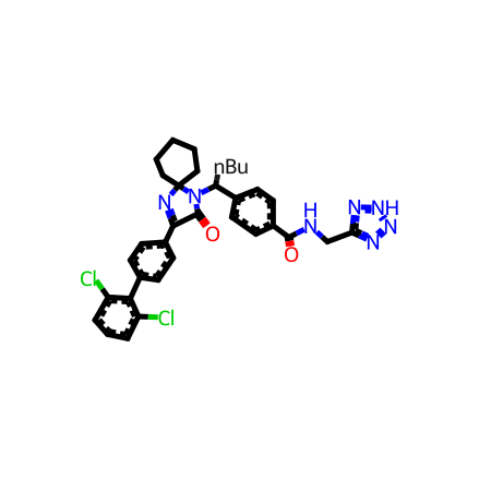 CCCCC(c1ccc(C(=O)NCc2nn[nH]n2)cc1)N1C(=O)C(c2ccc(-c3c(Cl)cccc3Cl)cc2)=NC12CCCCC2